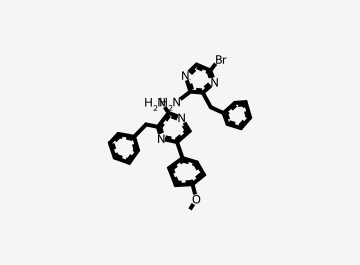 COc1ccc(-c2cnc(N)c(Cc3ccccc3)n2)cc1.Nc1ncc(Br)nc1Cc1ccccc1